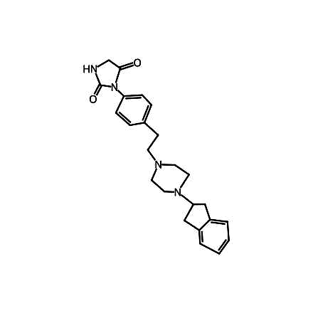 O=C1CNC(=O)N1c1ccc(CCN2CCN(C3Cc4ccccc4C3)CC2)cc1